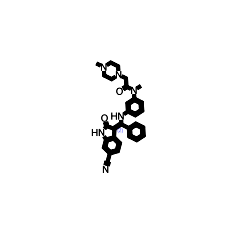 CN1CCN(CC(=O)N(C)c2cccc(N/C(=C3\C(=O)Nc4cc(C#N)ccc43)c3ccccc3)c2)CC1